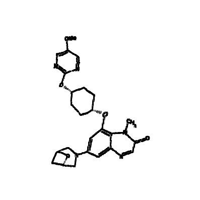 COc1cnc(O[C@H]2CC[C@@H](Oc3cc(N4CC5CC(C4)O5)cc4ncc(=O)n(C)c34)CC2)nc1